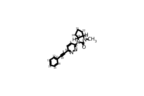 CN1C(=O)N(c2ccc(C#Cc3ccccc3)nn2)[C@@H]2CCC[C@@H]21